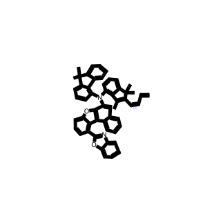 C=C/C=C\C1=C(C)c2c(N(c3cccc4c3-c3ccccc3C4(C)C)c3cc4ccccc4c4c3oc3cccc(-c5nc6ccccc6o5)c34)cccc2C1(C)C